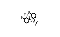 FC1CCCC(CC(F)(F)F)(SC2(CC(F)(F)F)CCCC(F)C2)C1